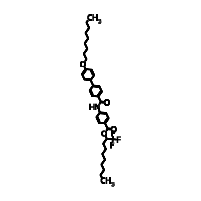 CCCCCCCCCOc1ccc(-c2ccc(C(=O)Nc3ccc(C(=O)OC(CCCCCCCC)C(F)(F)F)cc3)cc2)cc1